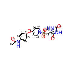 CC(=O)Nc1ccc(OC2CCN(S(=O)(=O)C[C@]3(C)NC(=O)NC3=O)CC2)cc1